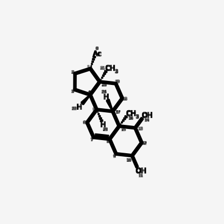 CC(=O)[C@H]1CC[C@H]2[C@@H]3CC=C4CC(O)CC(O)[C@]4(C)[C@H]3CC[C@]12C